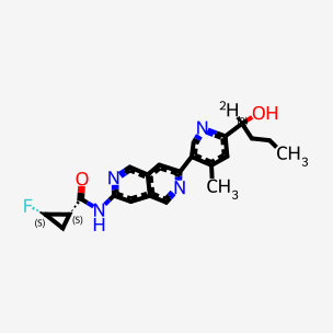 [2H][C@@](O)(CCC)c1cc(C)c(-c2cc3cnc(NC(=O)[C@@H]4C[C@@H]4F)cc3cn2)cn1